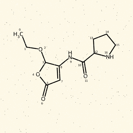 CCOC1OC(=O)C=C1NC(=O)C1CCCN1